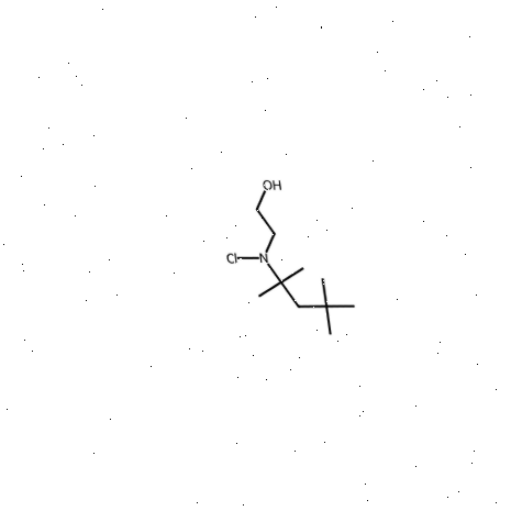 CC(C)(C)CC(C)(C)N(Cl)CCO